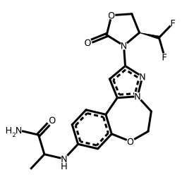 CC(Nc1ccc2c(c1)OCCn1nc(N3C(=O)OC[C@H]3C(F)F)cc1-2)C(N)=O